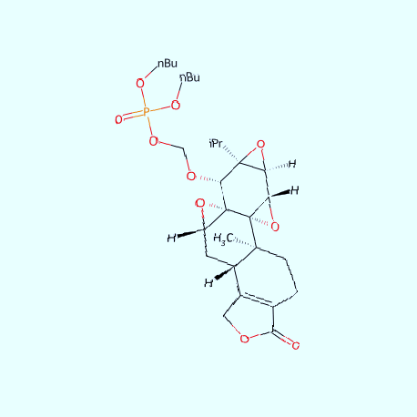 CCCCOP(=O)(OCCCC)OCO[C@@H]1[C@@]2(C(C)C)O[C@H]2[C@@H]2O[C@]23[C@]12O[C@H]2C[C@H]1C2=C(CC[C@@]13C)C(=O)OC2